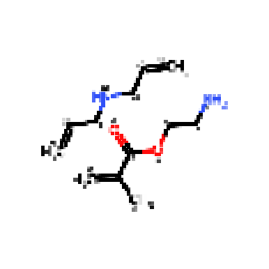 C=C(C)C(=O)OCCN.C=CCNCC=C